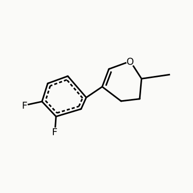 CC1CCC(c2ccc(F)c(F)c2)=CO1